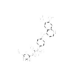 CCc1nnc(NC(=O)Nc2ccc(Oc3ccnc4cc(OC)c(OC)cc34)cc2)s1